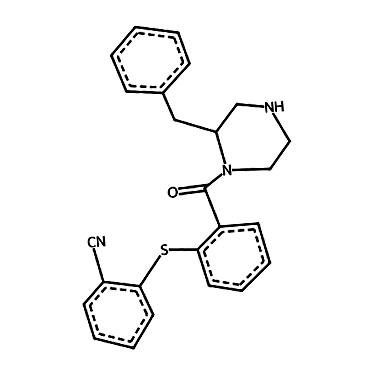 N#Cc1ccccc1Sc1ccccc1C(=O)N1CCNCC1Cc1ccccc1